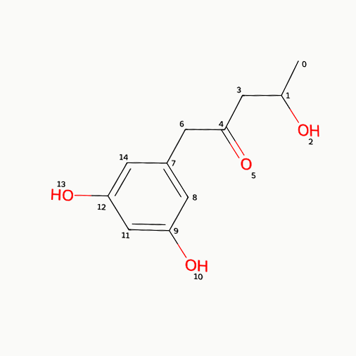 CC(O)CC(=O)Cc1cc(O)cc(O)c1